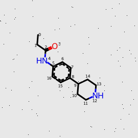 CCC(=O)Nc1ccc(C2CCNCC2)cc1